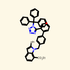 CCCc1cc2cccc(C(=O)OCC)c2n1Cc1ccc(-c2ccccc2-c2nnnn2C(c2ccccc2)(c2ccccc2)c2ccccc2)cc1